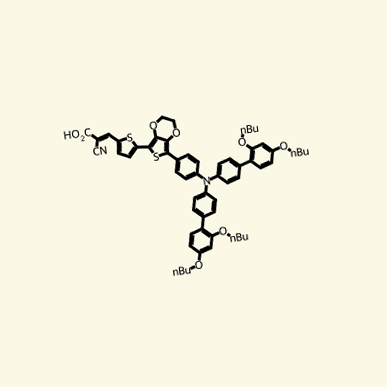 CCCCOc1ccc(-c2ccc(N(c3ccc(-c4ccc(OCCCC)cc4OCCCC)cc3)c3ccc(-c4sc(-c5ccc(/C=C(\C#N)C(=O)O)s5)c5c4OCCO5)cc3)cc2)c(OCCCC)c1